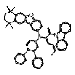 C=C(/C(=C\C=C/C)N(c1ccc(-c2ccccc2)c(-c2ccccc2)c1)c1ccc2oc3cc4c(cc3c2c1)C(C)(C)CCC4(C)C)n1c2ccccc2c2ccccc21